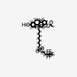 CC(=O)O[C@H]1CC[C@H]2[C@@H]3CCc4cc(O)ccc4[C@H]3[C@@H](CCCCCCCCCS(=O)(=O)CCCC(F)(F)C(F)(F)F)C[C@]12C